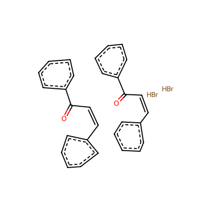 Br.Br.O=C(/C=C\c1ccccc1)c1ccccc1.O=C(/C=C\c1ccccc1)c1ccccc1